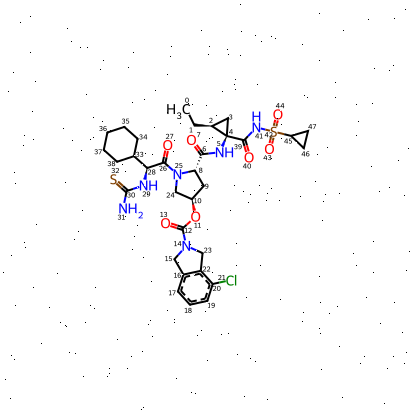 CC[C@H]1C[C@]1(NC(=O)[C@@H]1C[C@@H](OC(=O)N2Cc3cccc(Cl)c3C2)CN1C(=O)[C@@H](NC(N)=S)C1CCCCC1)C(=O)NS(=O)(=O)C1CC1